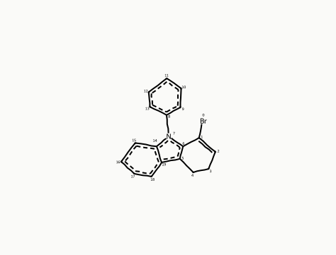 BrC1=CCCc2c1n(-c1ccccc1)c1ccccc21